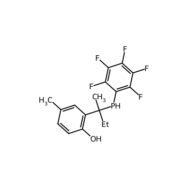 CCC(C)(Pc1c(F)c(F)c(F)c(F)c1F)c1cc(C)ccc1O